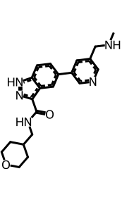 CNCc1cncc(-c2ccc3[nH]nc(C(=O)NCC4CCOCC4)c3c2)c1